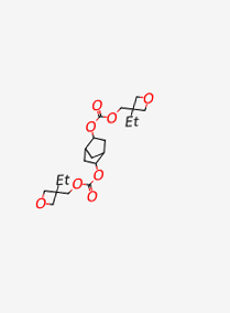 CCC1(COC(=O)OC2CC3CC2CC3OC(=O)OCC2(CC)COC2)COC1